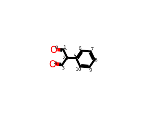 O=[C][C](C=O)c1ccccc1